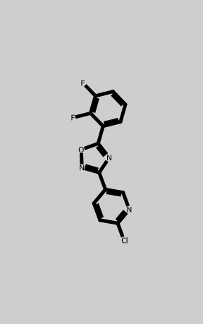 Fc1cccc(-c2nc(-c3ccc(Cl)nc3)no2)c1F